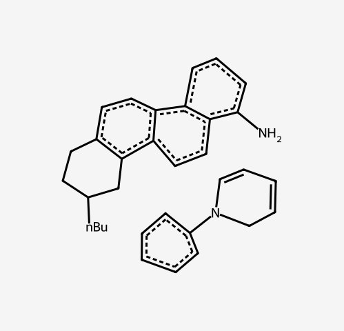 C1=CCN(c2ccccc2)C=C1.CCCCC1CCc2ccc3c(ccc4c(N)cccc43)c2C1